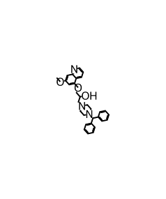 COc1cc(OCC(O)CN2CCN(C(c3ccccc3)c3ccccc3)CC2)c2cccnc2c1